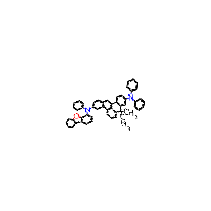 CC1(C)c2cc(N(c3ccccc3)c3ccccc3)ccc2-c2cc3ccc(N(c4ccccc4)c4cccc5c4oc4ccccc45)cc3c3cccc1c23